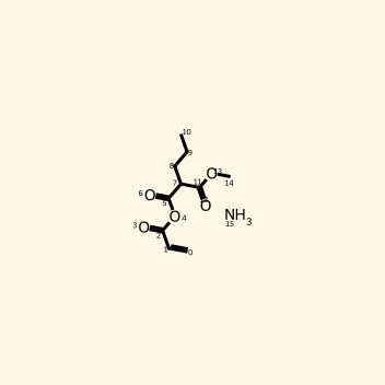 C=CC(=O)OC(=O)C(CCC)C(=O)OC.N